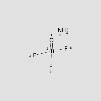 [NH4+].[O]=[Ti-]([F])([F])[F]